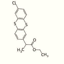 CCOC(=O)C(C)c1ccc2c(c1)Sc1ccc(Cl)cc1S2